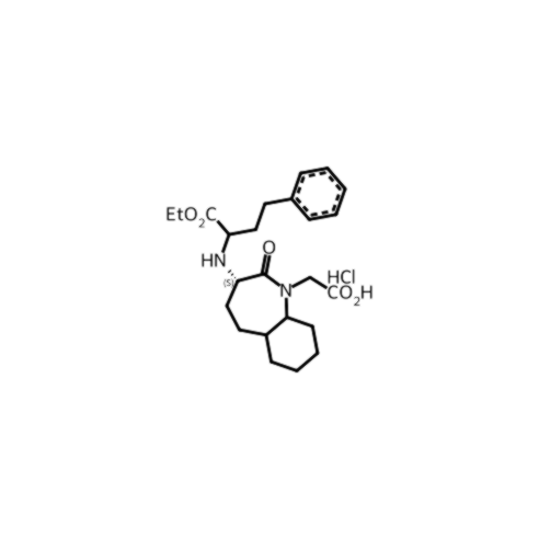 CCOC(=O)C(CCc1ccccc1)N[C@H]1CCC2CCCCC2N(CC(=O)O)C1=O.Cl